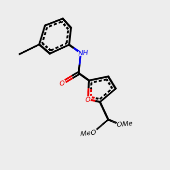 COC(OC)c1ccc(C(=O)Nc2cccc(C)c2)o1